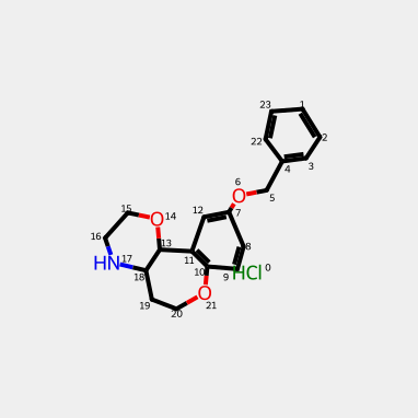 Cl.c1ccc(COc2ccc3c(c2)C2OCCNC2CCO3)cc1